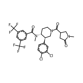 CN1CC(C(=O)N2CC[C@@H](N(C)C(=O)c3cc(C(F)(F)F)cc(C(F)(F)F)c3)[C@H](c3ccc(Cl)c(Cl)c3)C2)CC1=O